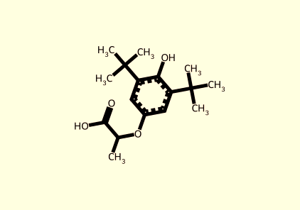 CC(Oc1cc(C(C)(C)C)c(O)c(C(C)(C)C)c1)C(=O)O